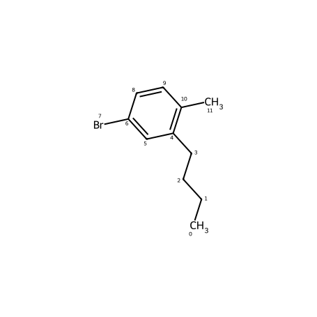 CCCCc1cc(Br)ccc1C